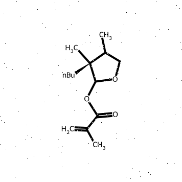 C=C(C)C(=O)OC1OCC(C)[C@]1(C)CCCC